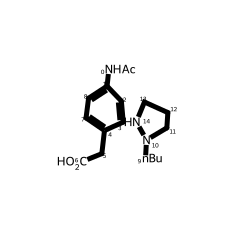 CC(=O)Nc1ccc(CC(=O)O)cc1.CCCCN1CCCN1